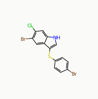 Clc1cc2[nH]cc(Sc3ccc(Br)cc3)c2cc1Br